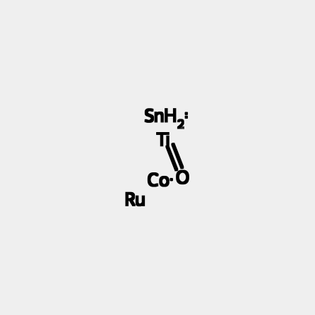 [Co].[O]=[Ti].[Ru].[SnH2]